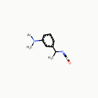 CC(=O)N(C)c1cccc(C(C)N=C=O)c1